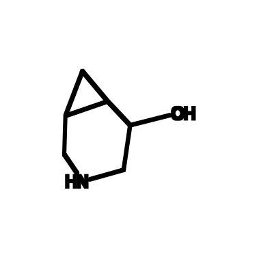 OC1CNCC2CC12